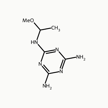 COC(C)Nc1nc(N)nc(N)n1